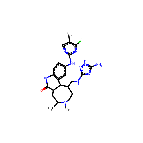 CC(C)N1CCC(CNc2n[nH]c(N)n2)C2c3cc(Nc4ncc(C(F)(F)F)c(Cl)n4)ccc3NC(=O)C2CC1C